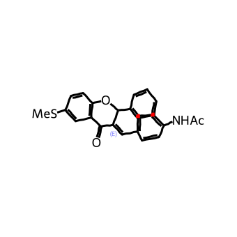 CSc1ccc2c(c1)C(=O)/C(=C/c1ccc(NC(C)=O)cc1)C(c1ccccc1)O2